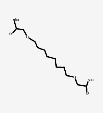 CCCCC(CC)COCCCCCCCCOCC(CC)CCCC